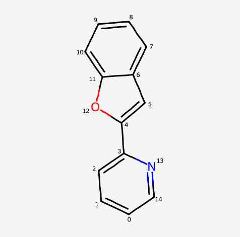 c1ccc(-c2cc3ccccc3o2)nc1